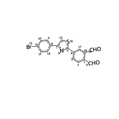 O=Cc1ccc(-c2nc(-c3ccc(Br)cc3)cs2)cc1C=O